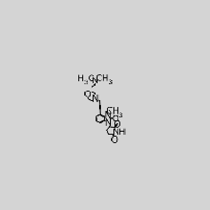 CN(C)CC[C@@H]1CN(CC#Cc2cccc3c2n(C)c(=O)n3C2CCC(=O)NC2=O)CCO1